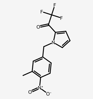 Cc1cc(Cn2cccc2C(=O)C(F)(F)F)ccc1[N+](=O)[O-]